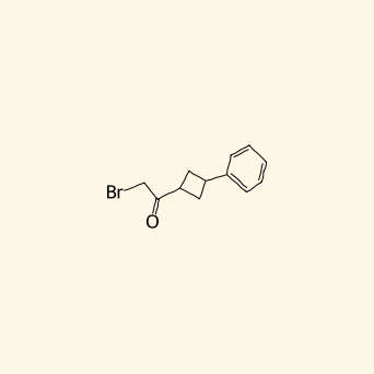 O=C(CBr)C1CC(c2ccccc2)C1